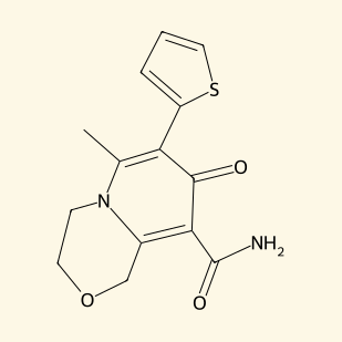 Cc1c(-c2cccs2)c(=O)c(C(N)=O)c2n1CCOC2